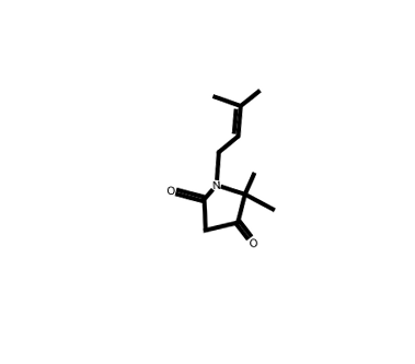 CC(C)=CCN1C(=O)CC(=O)C1(C)C